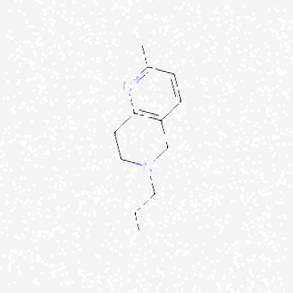 Cc1ccc2c(n1)CCN(CCC(F)(F)F)C2